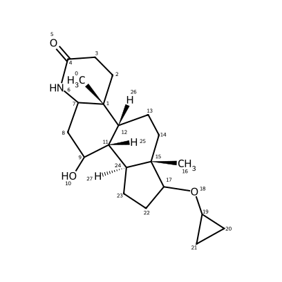 C[C@]12CCC(=O)NC1CC(O)[C@@H]1[C@H]2CC[C@]2(C)C(OC3CC3)CC[C@@H]12